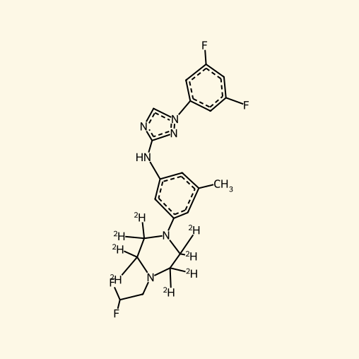 [2H]C1([2H])N(CC(F)F)C([2H])([2H])C([2H])([2H])N(c2cc(C)cc(Nc3ncn(-c4cc(F)cc(F)c4)n3)c2)C1([2H])[2H]